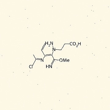 C=CC(/N=C(\C)Cl)=C(/C(=N)OC)N(N)CCC(=O)O